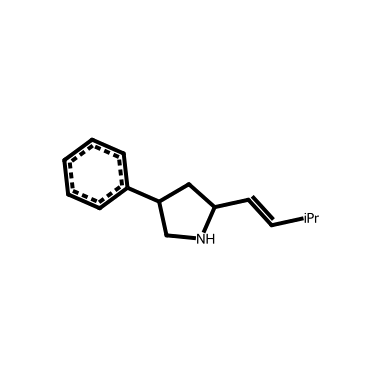 CC(C)/C=C/C1CC(c2ccccc2)CN1